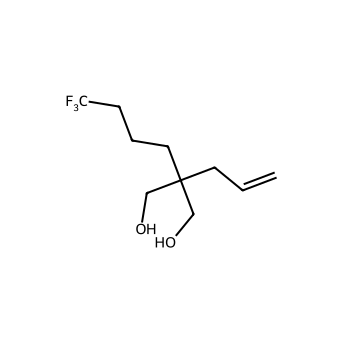 C=CCC(CO)(CO)CCCC(F)(F)F